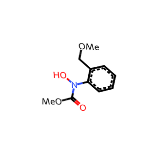 COCc1ccccc1N(O)C(=O)OC